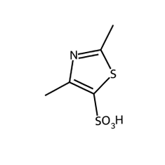 Cc1nc(C)c(S(=O)(=O)O)s1